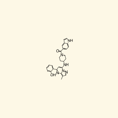 Cc1cnn2c(NC3CCN(C(=O)c4ccc5[nH]ccc5c4)CC3)cc(-c3ccccc3O)nc12